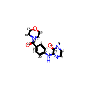 Cn1c[c]nc(Nc2ccc(C(=O)N3CCOCC3)cc2)c1=O